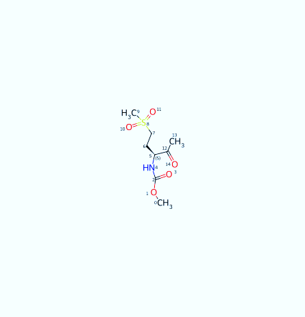 COC(=O)N[C@@H](CCS(C)(=O)=O)C(C)=O